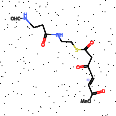 COC(=O)/C=C/C(=O)CC(=O)SCCNC(=O)CCNC=O